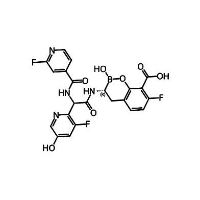 O=C(NC(C(=O)N[C@H]1Cc2ccc(F)c(C(=O)O)c2OB1O)c1ncc(O)cc1F)c1ccnc(F)c1